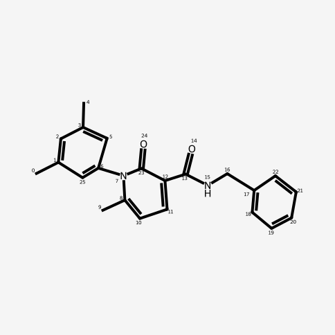 Cc1cc(C)cc(-n2c(C)ccc(C(=O)NCc3ccccc3)c2=O)c1